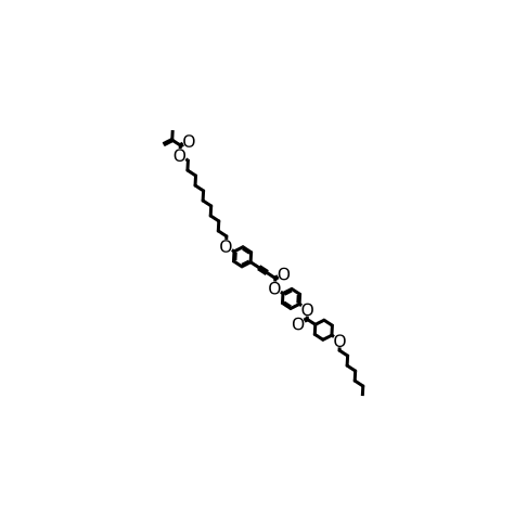 C=C(C)C(=O)OCCCCCCCCCCCOc1ccc(C#CC(=O)Oc2ccc(OC(=O)C3CCC(OCCCCCCC)CC3)cc2)cc1